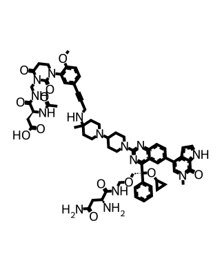 COc1ccc(C#CCNC2(C)CCN(C3CCN(c4nc([C@@](COCNC(=O)[C@@H](N)CC(N)=O)(OC5CC5)c5ccccc5)c5cc(-c6cn(C)c(=O)c7[nH]ccc67)ccc5n4)CC3)CC2)cc1N1CCC(=O)N(CNC(=O)[C@H](CC(=O)O)NC(C)=O)C1=O